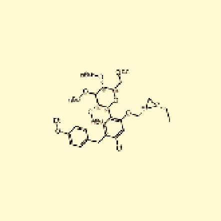 CCCCOC1[C@@H](OCCCC)[C@H](c2cc(Cc3ccc(OCC)cc3)c(Cl)cc2OC[C@@H]2C[C@@H]2CI)O[C@H](COC(C)=O)[C@H]1OCCCC